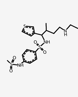 CCNCCC(C)C(NS(=O)(=O)c1ccc(NS(C)(=O)=O)cc1)c1ccsc1